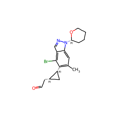 Cc1cc2c(cnn2[C@H]2CCCCO2)c(Br)c1[C@@H]1C[C@@H]1CC=O